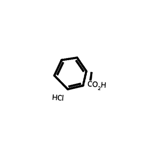 CC(=O)O.Cl.c1ccccc1